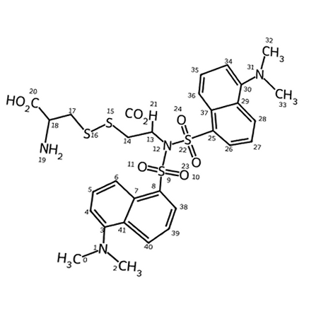 CN(C)c1cccc2c(S(=O)(=O)N(C(CSSCC(N)C(=O)O)C(=O)O)S(=O)(=O)c3cccc4c(N(C)C)cccc34)cccc12